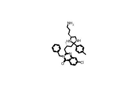 Cc1ccc(C2(C[C@@H](C)Cc3nc4cc(Cl)ccc4c(=O)n3Cc3ccccc3)NC[C@H](CCCN)N2)cc1